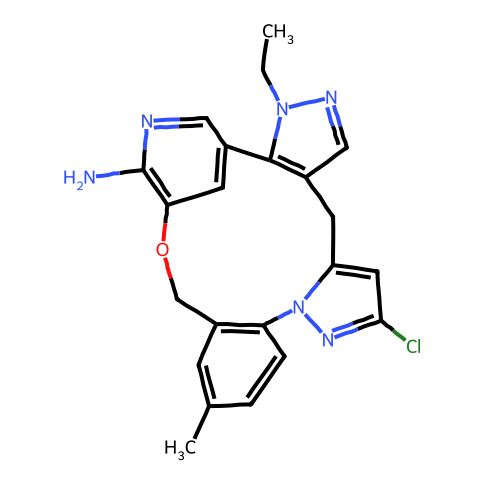 CCn1ncc2c1-c1cnc(N)c(c1)OCc1cc(C)ccc1-n1nc(Cl)cc1C2